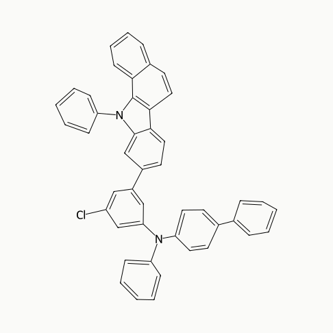 Clc1cc(-c2ccc3c4ccc5ccccc5c4n(-c4ccccc4)c3c2)cc(N(c2ccccc2)c2ccc(-c3ccccc3)cc2)c1